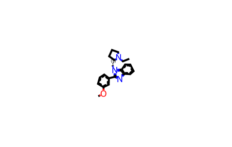 CCN1CCC[C@H]1Cn1c(-c2cccc(OC)c2)nc2ccccc21